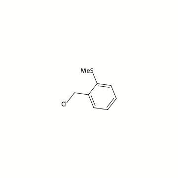 CSc1ccccc1CCl